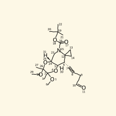 COC1(C)O[C@@H]2[C@@H](C#CCC=O)C3(CC3)N(C(=O)OC(C)(C)C)C[C@H]2OC1(C)OC